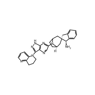 N[C@@H]1c2ccccc2C[C@]12CC1CC[C@H](C2)N1c1cnc2c(N3CCCc4ncccc43)n[nH]c2n1